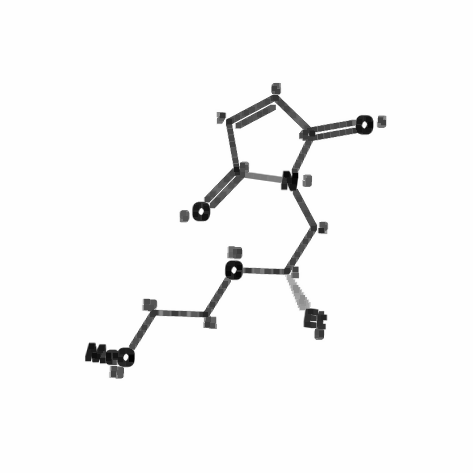 CC[C@@H](CN1C(=O)C=CC1=O)OCCOC